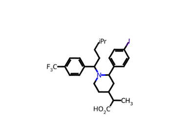 CC(C)CCC(c1ccc(C(F)(F)F)cc1)N1CCC(C(C)C(=O)O)CC1c1ccc(I)cc1